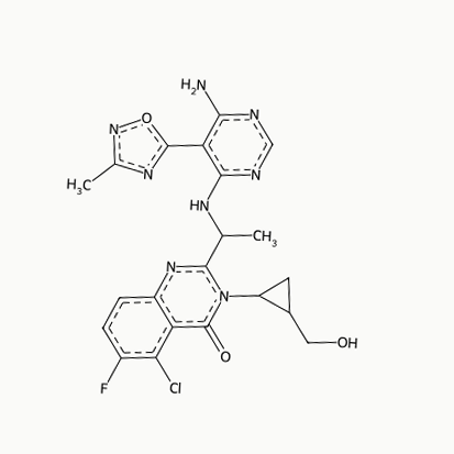 Cc1noc(-c2c(N)ncnc2NC(C)c2nc3ccc(F)c(Cl)c3c(=O)n2C2CC2CO)n1